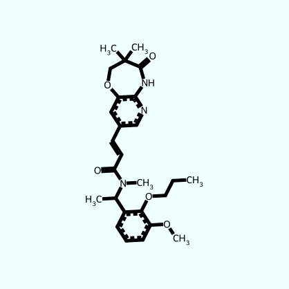 CCCOc1c(OC)cccc1C(C)N(C)C(=O)/C=C/c1cnc2c(c1)OCC(C)(C)C(=O)N2